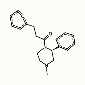 CN1CCN(C(=O)CCc2ccccc2)[C@@H](c2ccccc2)C1